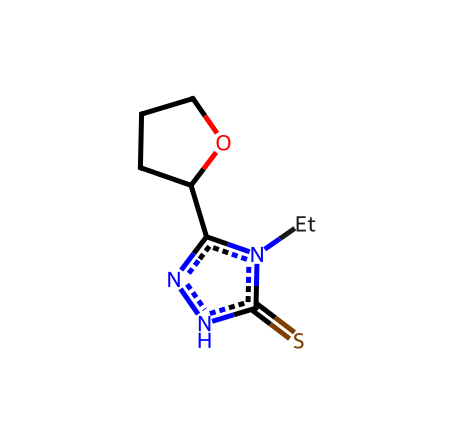 CCn1c(C2CCCO2)n[nH]c1=S